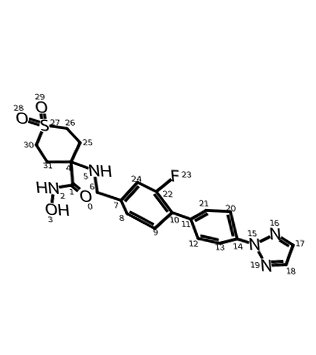 O=C(NO)C1(NCc2ccc(-c3ccc(-n4nccn4)cc3)c(F)c2)CCS(=O)(=O)CC1